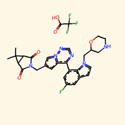 CC1(C)C2C(=O)N(Cc3cc4c(-c5cc(F)cc6ccn(CC7CNCCO7)c56)ncnn4c3)C(=O)C21.O=C(O)C(F)(F)F